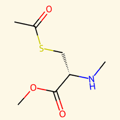 CN[C@@H](CSC(C)=O)C(=O)OC